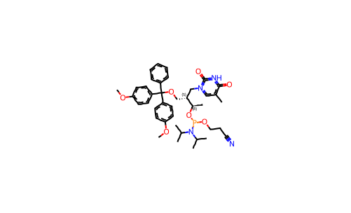 COc1ccc(C(OC[C@H](Cn2cc(C)c(=O)[nH]c2=O)[C@@H](C)OP(OCCC#N)N(C(C)C)C(C)C)(c2ccccc2)c2ccc(OC)cc2)cc1